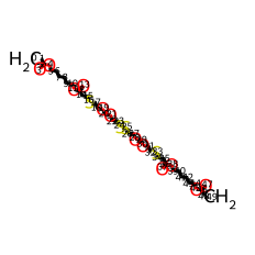 C=CC(=O)OCCCCCCOC(=O)CCSCCOCOCCSSCCOCOCCSCCC(=O)OCCCCCCOC(=O)C=C